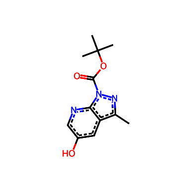 Cc1nn(C(=O)OC(C)(C)C)c2ncc(O)cc12